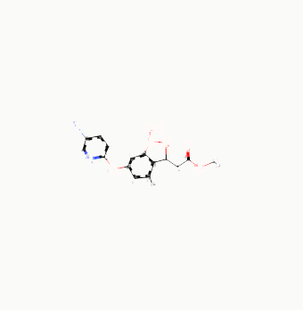 [C-]#[N+]c1ccc(Oc2cc(C)c3c(c2)B(O)OC3CC(=O)OCC)nc1